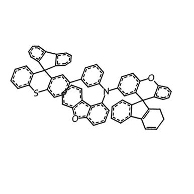 C1=CC2=C(CC1)C1(c3ccccc3Oc3ccc(N(c4cccc(-c5ccc6c(c5)C5(c7ccccc7S6)c6ccccc6-c6ccccc65)c4)c4cccc5oc6ccccc6c45)cc31)c1ccccc12